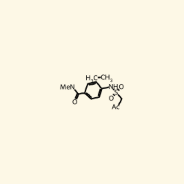 CC.CNC(=O)c1ccc(NS(=O)(=O)CC(C)=O)cc1